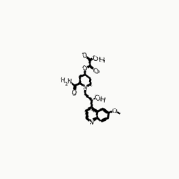 COc1ccc2nccc([C@@H](O)CN3CCC(OC(=O)C(=O)O)CC3C(N)=O)c2c1